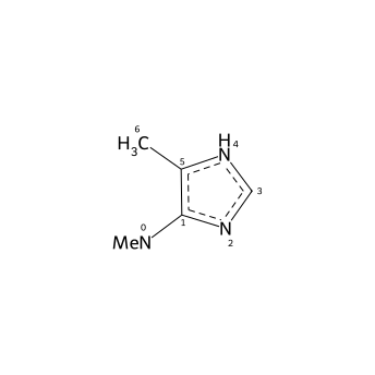 CNc1nc[nH]c1C